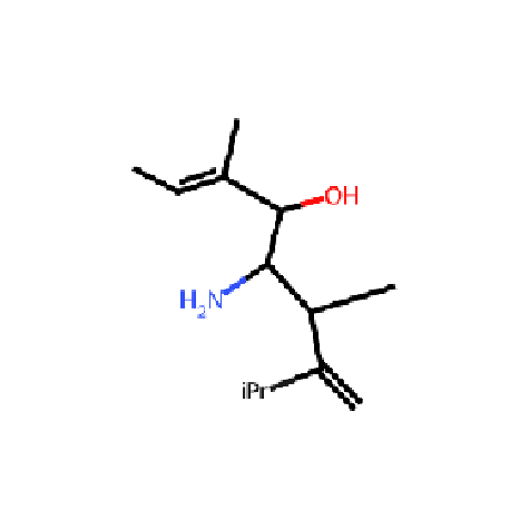 C=C(C(C)C)C(C)C(N)C(O)C(C)=CC